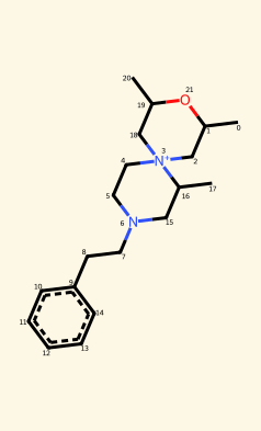 CC1C[N+]2(CCN(CCc3ccccc3)CC2C)CC(C)O1